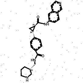 O=C(NC[C@H]1CCCNC1)c1ccc([C@@H]2C[C@H]2C(=O)Nc2ccc3cnccc3c2)cc1